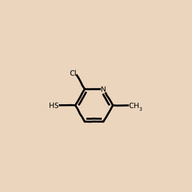 Cc1ccc(S)c(Cl)n1